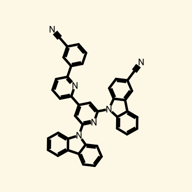 N#Cc1cccc(-c2cccc(-c3cc(-n4c5ccccc5c5ccccc54)nc(-n4c5ccccc5c5cc(C#N)ccc54)c3)n2)c1